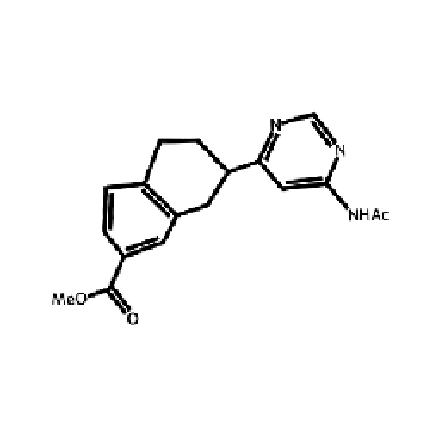 COC(=O)c1ccc2c(c1)CC(c1cc(NC(C)=O)ncn1)CC2